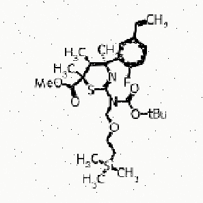 C=Cc1ccc(F)c([C@@]2(C)N=C(N(COCC[Si](C)(C)C)C(=O)OC(C)(C)C)S[C@](C)(C(=O)OC)[C@H]2C)c1